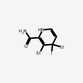 CCC1=C(C(N)=O)NC=CC1(I)CC